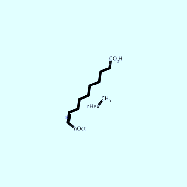 CCCCCCC.CCCCCCCC/C=C\CCCCCCCC(=O)O